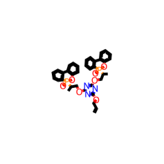 C=CCOc1nc(OCC(C)P2(=O)Oc3ccccc3-c3ccccc32)nc(OCC(C)P2(=O)Oc3ccccc3-c3ccccc32)n1